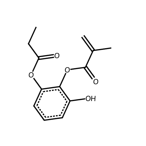 C=C(C)C(=O)Oc1c(O)cccc1OC(=O)CC